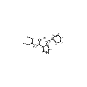 CCC(CC)OC(=O)c1cncn1[C@H](C)c1ccccc1